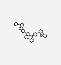 c1ccc(-c2ccccc2N(c2ccc(-c3ccc4oc5c(-c6ccccc6)cccc5c4c3)cc2)c2ccc(-c3cccc4c3sc3ccccc34)cc2)cc1